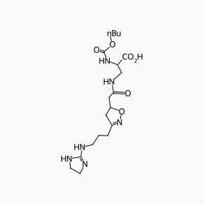 CCCCOC(=O)NC(CNC(=O)CC1CC(CCCNC2=NCCN2)=NO1)C(=O)O